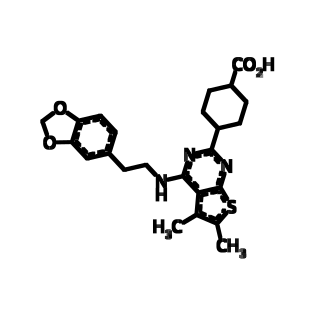 Cc1sc2nc(C3CCC(C(=O)O)CC3)nc(NCCc3ccc4c(c3)OCO4)c2c1C